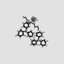 CCCCPCCCC.[Br-].[Br-].[Ni+2].c1ccc(P(c2ccccc2)c2ccccc2)cc1.c1ccc(P(c2ccccc2)c2ccccc2)cc1